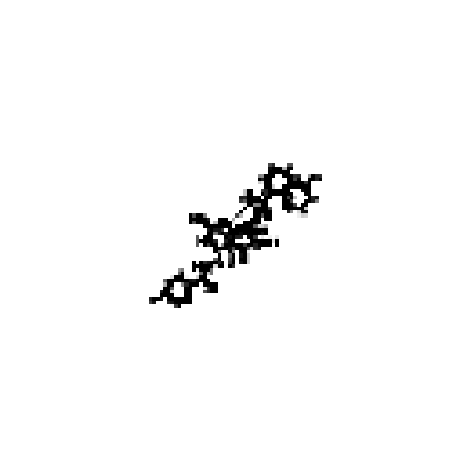 Cc1ccc(C(=O)NC[C@@H]2NC(=N)N3C[C@H](NC(=O)c4cccc5c4OCCN5C)C(O)(O)C34NC(=N)N[C@@H]24)nn1